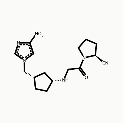 N#C[C@@H]1CCCN1C(=O)CN[C@@H]1CC[C@H](Cn2cnc([N+](=O)[O-])c2)C1